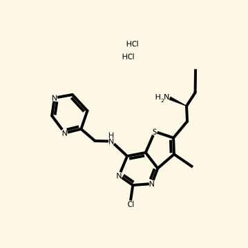 CC[C@H](N)Cc1sc2c(NCc3ccncn3)nc(Cl)nc2c1C.Cl.Cl